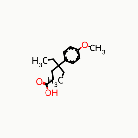 CCC(CC)(CCC(=O)O)c1ccc(OC)cc1